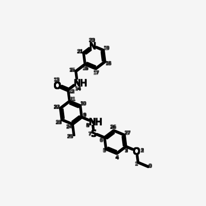 CCOc1ccc(SNc2cc(C(=O)NCc3cccnc3)ccc2C)cc1